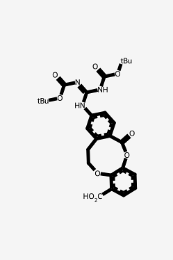 CC(C)(C)OC(=O)N=C(NC(=O)OC(C)(C)C)Nc1ccc2c(c1)CCOc1c(cccc1C(=O)O)OC2=O